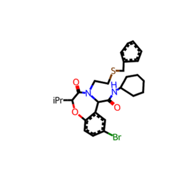 CC(C)C1Oc2ccc(Br)cc2C(C(=O)NC2CCCCC2)N(CCSCc2ccccc2)C1=O